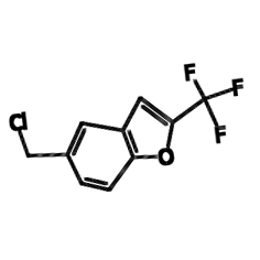 FC(F)(F)c1cc2cc(CCl)ccc2o1